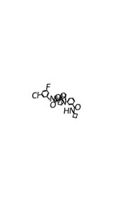 O=C(NC1CCC1)c1cccc(N2CC[C@@](O)(C(=O)NCc3cc(F)cc(Cl)c3)C2=O)c1